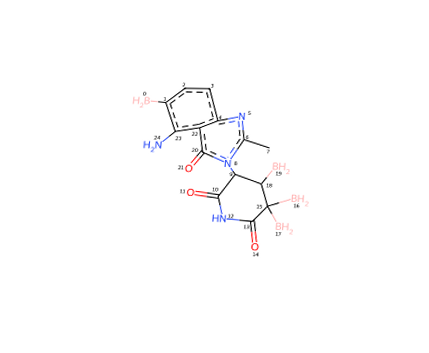 Bc1ccc2nc(C)n(C3C(=O)NC(=O)C(B)(B)C3B)c(=O)c2c1N